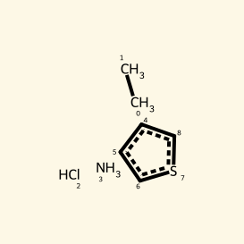 CC.Cl.N.c1ccsc1